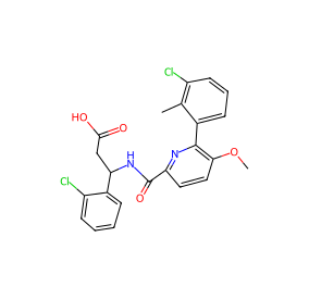 COc1ccc(C(=O)NC(CC(=O)O)c2ccccc2Cl)nc1-c1cccc(Cl)c1C